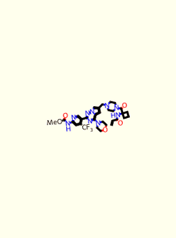 C=CC(=O)NC1(C(=O)N2CCN(Cc3cc4c(N5CCOCC5)nc(-c5cnc(NC(=O)OC)cc5C(F)(F)F)nn4c3)CC2)CCC1